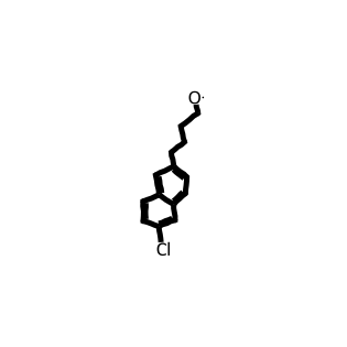 [O]CCCCc1ccc2cc(Cl)ccc2c1